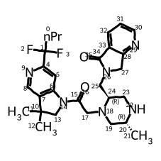 CCCC(F)(F)c1cc2c(cn1)C(C)(C)CN2C(=O)CN1C[C@@H](C)NC[C@@H]1CN1Cc2ncccc2C1=O